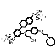 CC(C)(C)[Si](C)(C)Oc1ccc2c(c1)CCC(c1ccc(O[Si](C)(C)C(C)(C)C)cc1N(CCO)Cc1ccc(OCCN3CCCCCC3)cc1)C2